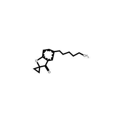 CCCCCCc1ccc2c(c1)C(=O)C1(CC1)O2